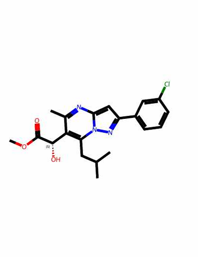 COC(=O)[C@@H](O)c1c(C)nc2cc(-c3cccc(Cl)c3)nn2c1CC(C)C